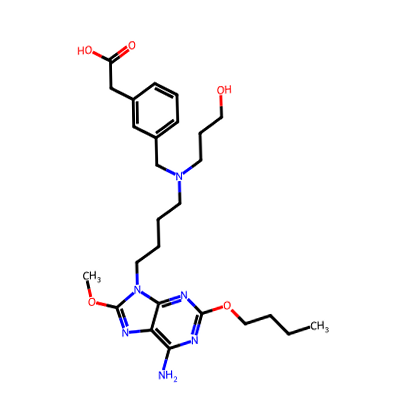 CCCCOc1nc(N)c2nc(OC)n(CCCCN(CCCO)Cc3cccc(CC(=O)O)c3)c2n1